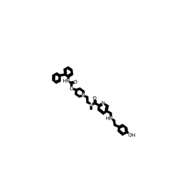 CN(CCN1CCC(OC(=O)Nc2ccccc2-c2ccccc2)CC1)C(=O)c1ccc(CNCCc2ccc(O)cc2)cn1